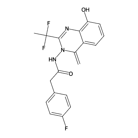 C=C1c2cccc(O)c2N=C(C(C)(F)F)N1NC(=O)Cc1ccc(F)cc1